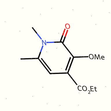 CCOC(=O)c1cc(C)n(C)c(=O)c1OC